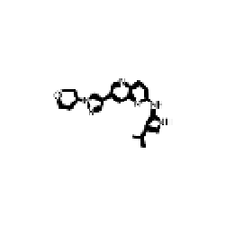 CC(C)c1c[nH]c(Nc2ccc3ncc(-c4cnn(C5CCOCC5)c4)cc3n2)c1